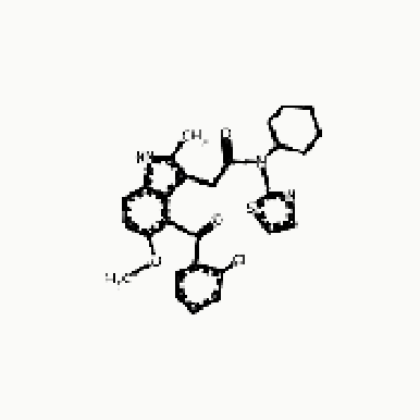 COc1ccc2[nH]c(C)c(CC(=O)N(c3nccs3)C3CCCCC3)c2c1C(=O)c1ccccc1Cl